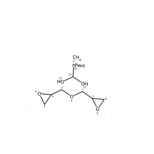 C.C(OCC1CO1)C1CO1.CCCCCC(O)O